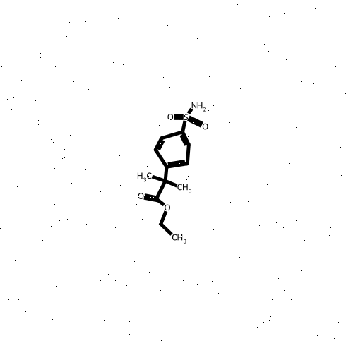 CCOC(=O)C(C)(C)c1ccc(S(N)(=O)=O)cc1